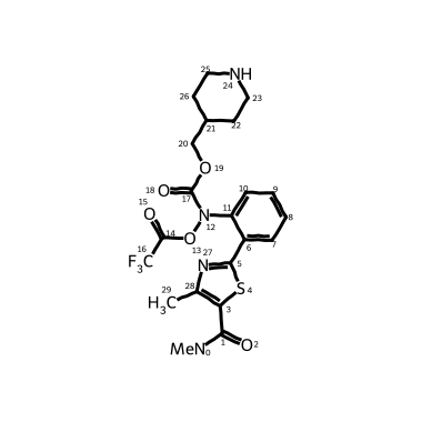 CNC(=O)c1sc(-c2ccccc2N(OC(=O)C(F)(F)F)C(=O)OCC2CCNCC2)nc1C